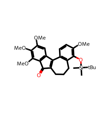 COc1ccc2c(c1O[Si](C)(C)C(C)(C)C)CCCC1=C2c2cc(OC)c(OC)c(OC)c2C1=O